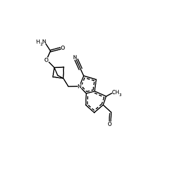 Cc1c(C=O)ccc2c1cc(C#N)n2CC12CC(OC(N)=O)(C1)C2